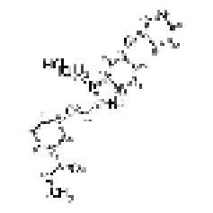 COC(=O)c1cccc(OCc2nc3ccc(Oc4cccnc4)cc3n2C)c1.Cl.Cl